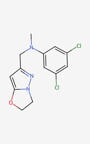 CN(Cc1cc2n(n1)CCO2)c1cc(Cl)cc(Cl)c1